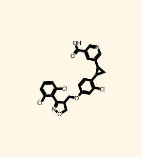 O=C(O)c1cncc(C2CC2c2ccc(OCC3CON=C3c3c(Cl)cccc3Cl)cc2Cl)c1